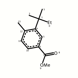 CCC(C)(C)c1cc(C(=O)OC)ccc1C